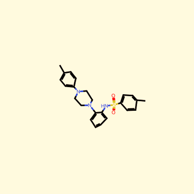 Cc1ccc(N2CCN(c3ccccc3NS(=O)(=O)c3ccc(C)cc3)CC2)cc1